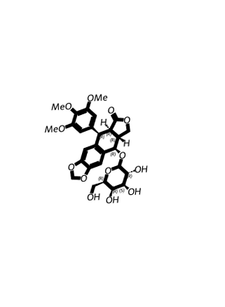 COc1cc([C@@H]2c3cc4c(cc3[C@H](OC3O[C@H](CO)[C@H](O)[C@H](O)[C@H]3O)[C@H]3COC(=O)[C@H]23)OCO4)cc(OC)c1OC